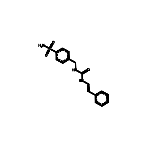 NS(=O)(=O)c1ccc(CNC(=O)NC=Cc2ccccc2)cc1